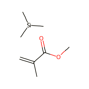 C=C(C)C(=O)OC.C[Si](C)C